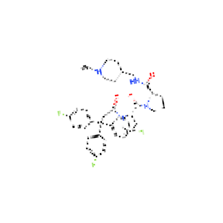 CCCN1CCC(CNC(=O)[C@H]2CCCN2C(=O)[C@@H]2CCCN2C(=O)CC(c2ccc(F)cc2)(c2ccc(F)cc2)c2ccc(F)cc2)CC1